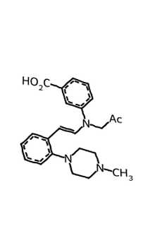 CC(=O)CN(C=Cc1ccccc1N1CCN(C)CC1)c1cccc(C(=O)O)c1